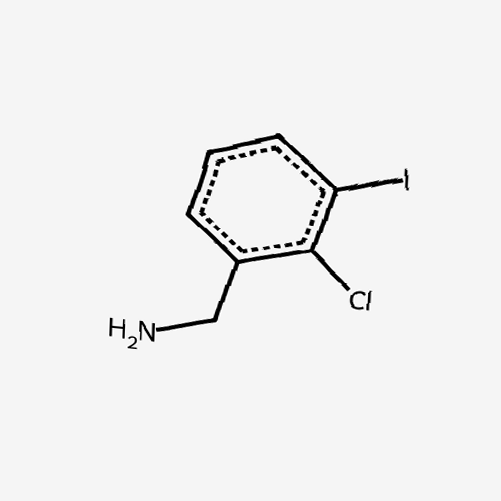 NCc1cccc(I)c1Cl